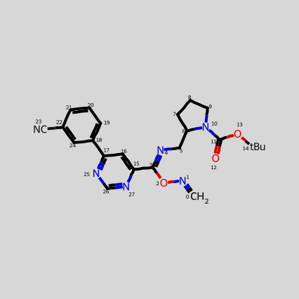 C=NO/C(=N\CC1CCCN1C(=O)OC(C)(C)C)c1cc(-c2cccc(C#N)c2)ncn1